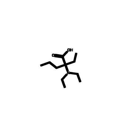 CCCC(CC)(C(=O)O)N(CC)CC